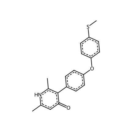 CSc1ccc(Oc2ccc(-c3c(C)[nH]c(C)cc3=O)cc2)cc1